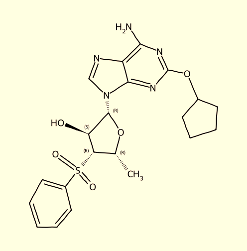 C[C@H]1O[C@@H](n2cnc3c(N)nc(OC4CCCC4)nc32)[C@H](O)[C@H]1S(=O)(=O)c1ccccc1